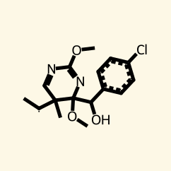 C[CH]C1(C)C=NC(OC)=NC1(OC)C(O)c1ccc(Cl)cc1